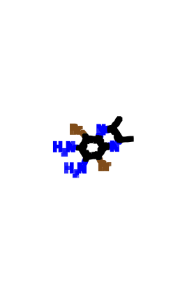 Cc1nc2c(Br)c(N)c(N)c(Br)c2nc1C